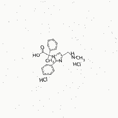 CNCc1cn(C(C)(C(=O)O)c2ccccc2)c(-c2ccccc2)n1.Cl.Cl